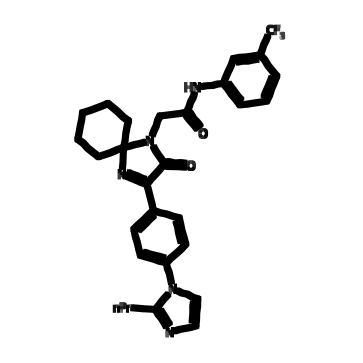 CCCc1nccn1-c1ccc(C2=NC3(CCCCC3)N(CC(=O)Nc3cccc(C(F)(F)F)c3)C2=O)cc1